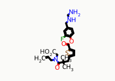 C=CCN(CC(=O)O)C(=O)C(C)(C)Cc1ccc(C(=O)Oc2ccc(CNCN)cc2F)s1